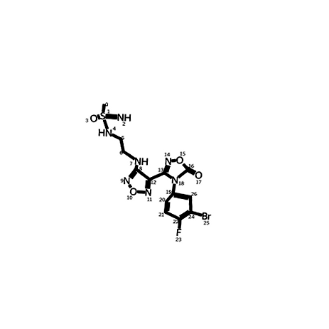 CS(=N)(=O)NCCNc1nonc1-c1noc(=O)n1-c1ccc(F)c(Br)c1